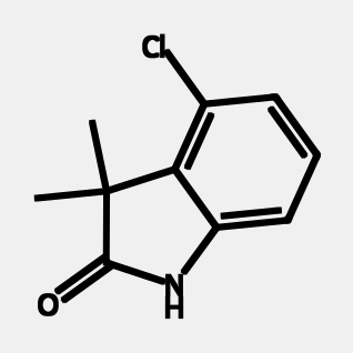 CC1(C)C(=O)Nc2cccc(Cl)c21